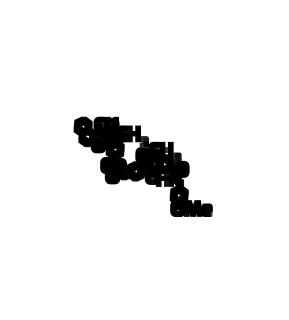 COc1ccc(CNC(=O)c2ccc3c(c2)c(=O)n(-c2ccc(CC(=O)OC(=O)c4ccc5c(c4)c(=O)n(C(C)c4cccc6ccccc46)c(=O)n5C)cc2)c(=O)n3C)cc1